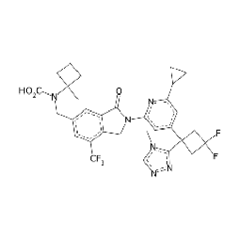 Cn1cnnc1C1(c2cc(C3CC3)nc(N3Cc4c(cc(CN(C(=O)O)C5(C)CCC5)cc4C(F)(F)F)C3=O)c2)CC(F)(F)C1